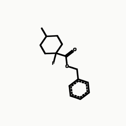 CC1CCC(F)(C(=O)OCc2ccccc2)CC1